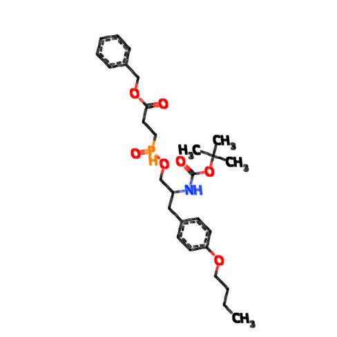 CCCCOc1ccc(CC(CO[PH](=O)CCC(=O)OCc2ccccc2)NC(=O)OC(C)(C)C)cc1